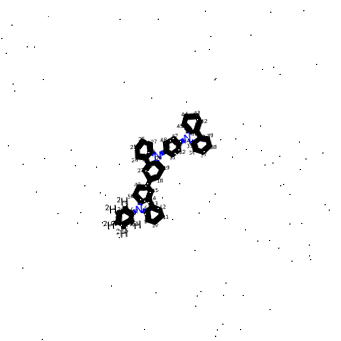 [2H]c1c([2H])c([2H])c(-n2c3ccccc3c3cc(-c4ccc5c(c4)c4ccccc4n5-c4ccc(-n5c6ccccc6c6ccccc65)cc4)ccc32)c([2H])c1[2H]